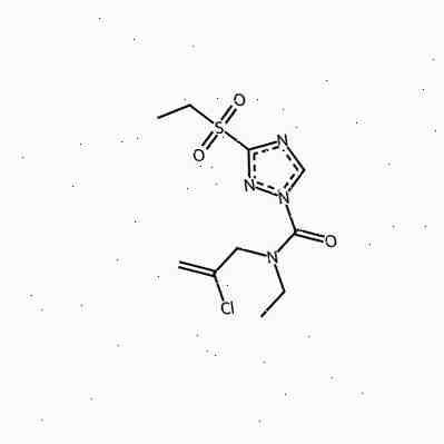 C=C(Cl)CN(CC)C(=O)n1cnc(S(=O)(=O)CC)n1